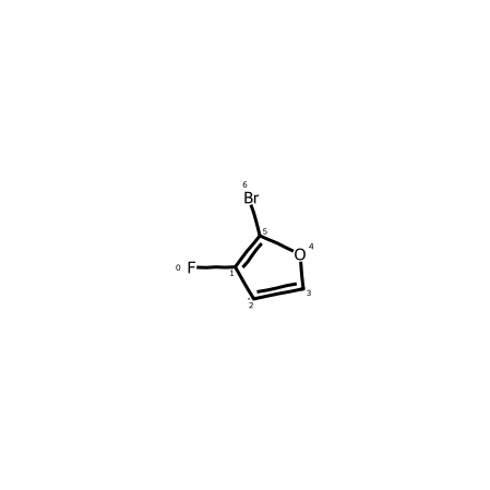 Fc1[c]coc1Br